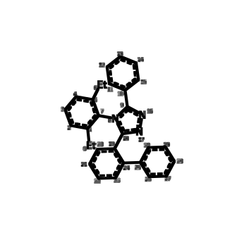 CCc1cccc(CC)c1-n1c(-c2ccccc2)nnc1-c1ccccc1-c1ccccc1